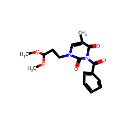 COC(CCn1cc(C)c(=O)n(C(=O)c2ccccc2)c1=O)OC